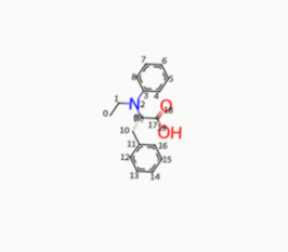 CCN(c1ccccc1)[C@@H](Cc1ccccc1)C(=O)O